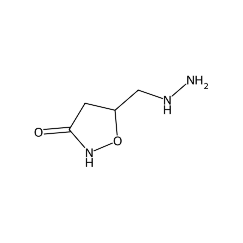 NNCC1CC(=O)NO1